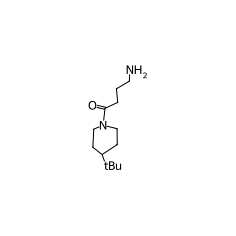 CC(C)(C)C1CCN(C(=O)CCCN)CC1